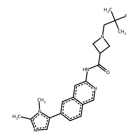 Cc1ncc(-c2ccc3cnc(NC(=O)C4CN(CC(C)(C)F)C4)cc3c2)n1C